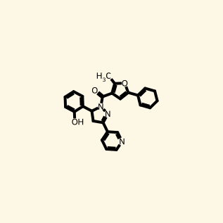 Cc1oc(C2=CCCC=C2)cc1C(=O)N1N=C(c2cccnc2)CC1c1ccccc1O